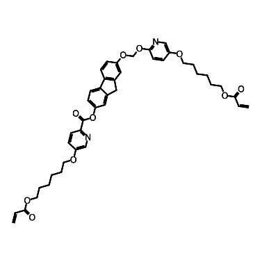 C=CC(=O)OCCCCCCOc1ccc(OCOc2ccc3c(c2)Cc2cc(OC(=O)c4ccc(OCCCCCCOC(=O)C=C)cn4)ccc2-3)nc1